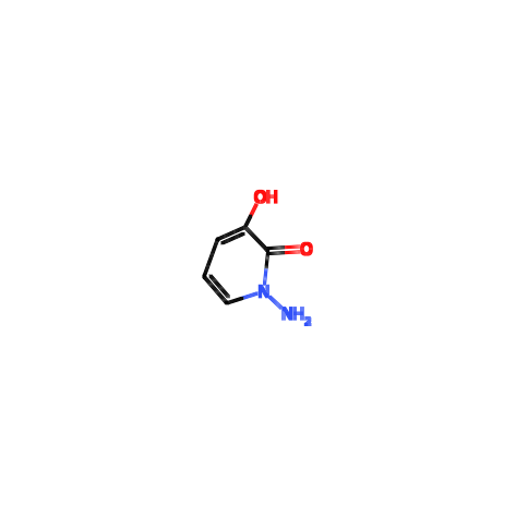 Nn1cccc(O)c1=O